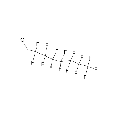 [O]CC(F)(F)C(F)(F)C(F)(F)C(F)(F)C(F)(F)C(F)(F)C(F)(F)F